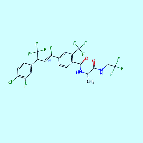 CC(NC(=O)c1ccc(/C(F)=C/C(c2ccc(Cl)c(F)c2)C(F)(F)F)cc1C(F)(F)F)C(=O)NCC(F)(F)F